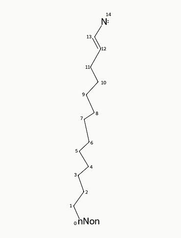 CCCCCCCCCCCCCCCCCCCCC=C[N]